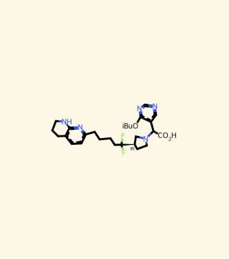 CC(C)COc1ncncc1C(C(=O)O)N1CC[C@@H](C(F)(F)CCCCc2ccc3c(n2)NCCC3)C1